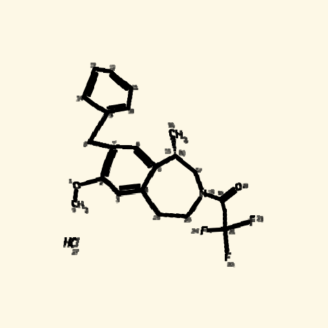 COc1cc2c(cc1Cc1ccccc1)[C@H](C)CN(C(=O)C(F)(F)F)CC2.Cl